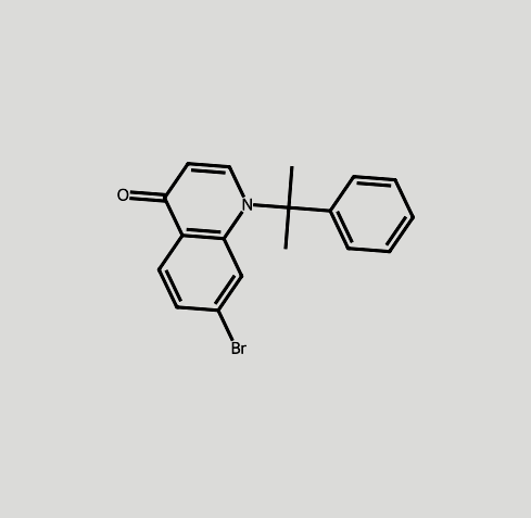 CC(C)(c1ccccc1)n1ccc(=O)c2ccc(Br)cc21